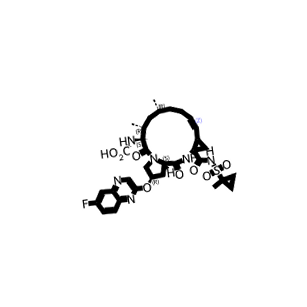 C[C@@H]1CC/C=C\C2CC2(C(=O)NS(=O)(=O)C2(C)CC2)NC(=O)[C@@H]2C[C@@H](Oc3cnc4cc(F)ccc4n3)CN2C(=O)[C@@H](NC(=O)O)[C@H](C)C1